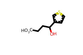 O=C(O)CCC(O)c1ccsc1